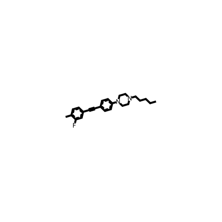 CCCCCN1CCN(c2ccc(C#Cc3ccc(C)c(F)c3)cc2)CC1